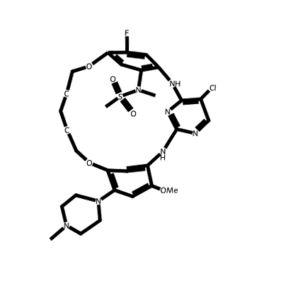 COc1cc(N2CCN(C)CC2)c2cc1Nc1ncc(Cl)c(n1)Nc1cc(F)c(cc1N(C)S(C)(=O)=O)OCCCCCO2